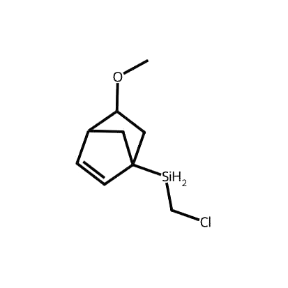 COC1CC2([SiH2]CCl)C=CC1C2